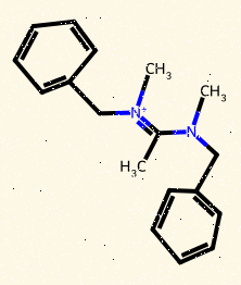 CC(N(C)Cc1ccccc1)=[N+](C)Cc1ccccc1